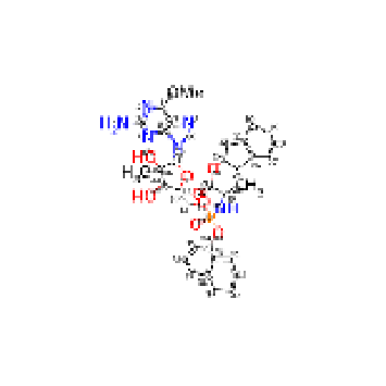 COc1nc(N)nc2c1ncn2C1O[C@H](COP(=O)(NC(C)C(=O)OC2Cc3ccccc3C2)Oc2cccc3ccccc23)[C@@H](O)[C@@]1(C)O